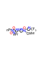 CCCn1c(=O)c2[nH]c(-c3ccc(N(CCOC)C(=O)c4ccc(C(F)(F)F)nc4)nc3)cc2n(CCC)c1=O